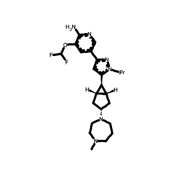 CC(C)n1nc(-c2cnc(N)c(OC(F)F)c2)cc1[C@H]1[C@@H]2C[C@H](N3CCCN(C)CC3)C[C@@H]21